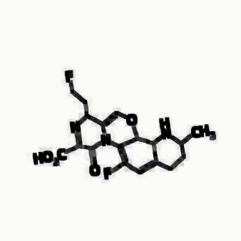 CC1CCC2=CC(F)=C3C(OC=C4C(CCF)N=C(C(=O)O)C(=O)N43)C2N1